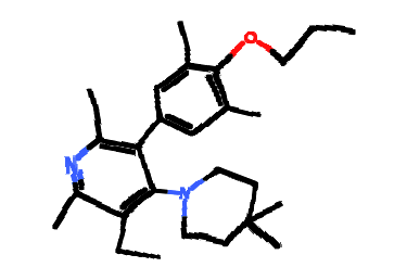 CCCOc1c(C)cc(-c2c(C)nc(C)c(CC)c2N2CCC(C)(C)CC2)cc1C